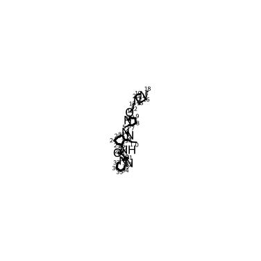 CCc1nn(Cc2cccc(OCCN3CCN(C)CC3)n2)c2cccc(NC(=O)c3cnc4ccccn34)c12